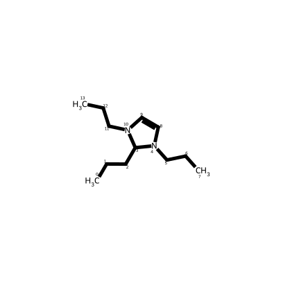 CCCC1N(CCC)C=CN1CCC